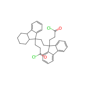 O=C(Cl)CCC1(CCC2(CCC(=O)Cl)c3ccccc3C3CCCCC32)c2ccccc2-c2ccccc21